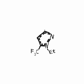 CCn1n[c]cc1C(F)(F)F